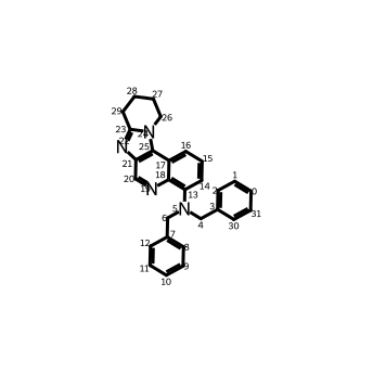 c1ccc(CN(Cc2ccccc2)c2cccc3c2ncc2nc4n(c23)CCCC4)cc1